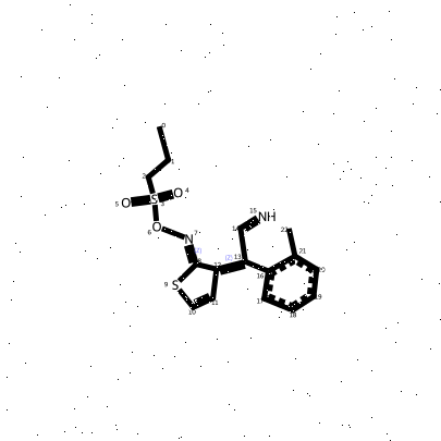 CCCS(=O)(=O)O/N=C1\SC=C\C1=C(\C=N)c1ccccc1C